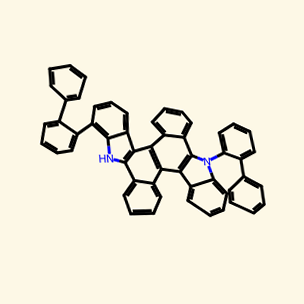 c1ccc(-c2ccccc2-c2cccc3c2[nH]c2c4ccccc4c4c(c5ccccc5c5c4c4ccccc4n5-c4ccccc4-c4ccccc4)c32)cc1